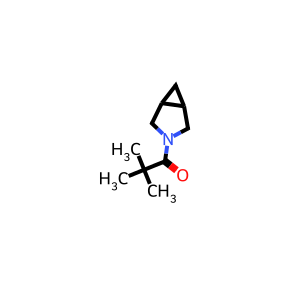 CC(C)(C)C(=O)N1CC2CC2C1